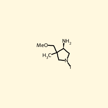 COCC1(C)CN(I)C[C@@H]1N